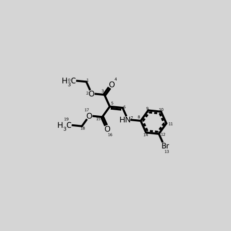 CCOC(=O)C(=CNc1cccc(Br)c1)C(=O)OCC